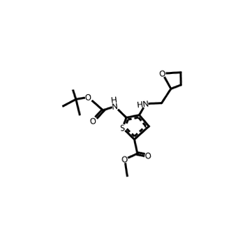 COC(=O)c1cc(NCC2CCO2)c(NC(=O)OC(C)(C)C)s1